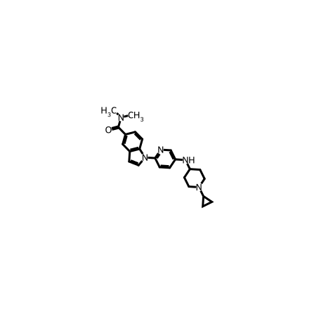 CN(C)C(=O)c1ccc2c(ccn2-c2ccc(NC3CCN(C4CC4)CC3)cn2)c1